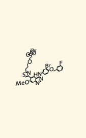 COc1cc2ncnc(Nc3ccc(OCc4cccc(F)c4)c(Br)c3)c2cc1-c1csc(CCCOCCS(=O)(=O)C(C)C)n1